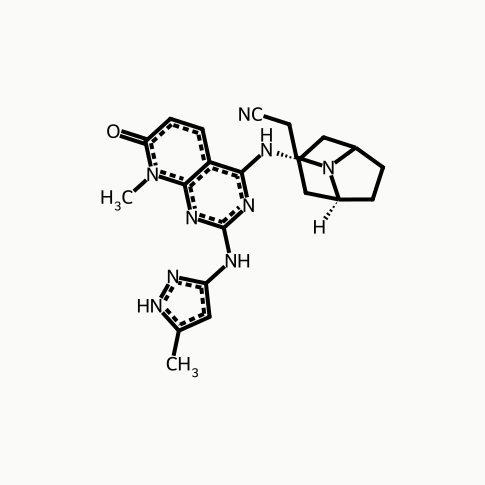 Cc1cc(Nc2nc(N[C@@H]3CC4CC[C@@H](C3)N4CCC#N)c3ccc(=O)n(C)c3n2)n[nH]1